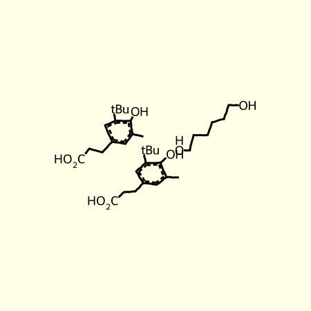 Cc1cc(CCC(=O)O)cc(C(C)(C)C)c1O.Cc1cc(CCC(=O)O)cc(C(C)(C)C)c1O.OCCCCCCO